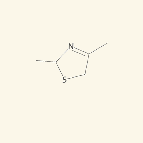 CC1=NC(C)SC1